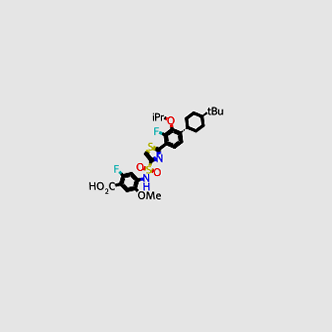 COc1cc(C(=O)O)c(F)cc1NS(=O)(=O)c1csc(-c2ccc([C@H]3CC[C@H](C(C)(C)C)CC3)c(OC(C)C)c2F)n1